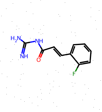 N=C(N)NC(=O)/C=C/c1ccccc1F